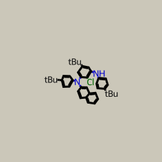 CC(C)(C)c1ccc(Nc2cc(C(C)(C)C)cc(N(c3ccc(C(C)(C)C)cc3)c3ccc4ccccc4c3)c2Cl)cc1